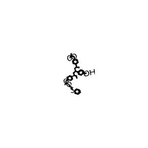 CCC(CC(CC(C)c1ccc(OC(C)=O)cc1)c1ccc(O)cc1)c1ccc(OC(C)OCCSc2ccccc2)cc1